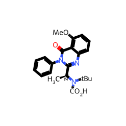 COc1cccc2nc([C@H](C)N(C(=O)O)C(C)(C)C)n(-c3ccccc3)c(=O)c12